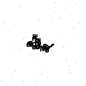 CCCCCS(=O)(=O)NC(=O)C=Cc1ccc(OCCC2OCCO2)cc1Oc1ncc(C(F)(F)F)cc1Cl